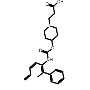 C=C/C=C\C(NC(=O)OC1CCN(CCC(=O)O)CC1)=C(/C)c1ccccc1